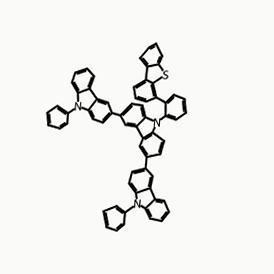 c1ccc(-n2c3ccccc3c3cc(-c4ccc5c(c4)c4cc(-c6ccc7c(c6)c6ccccc6n7-c6ccccc6)ccc4n5-c4ccccc4-c4cccc5c4sc4ccccc45)ccc32)cc1